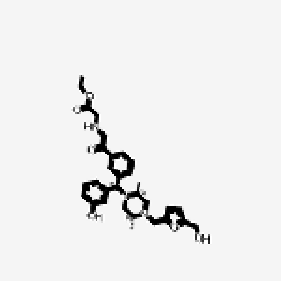 CCOC(=O)CNCC(=O)c1cccc([C@H](c2cccc(O)c2)N2C[C@@H](C)N(Cc3ccc(CO)o3)C[C@@H]2C)c1